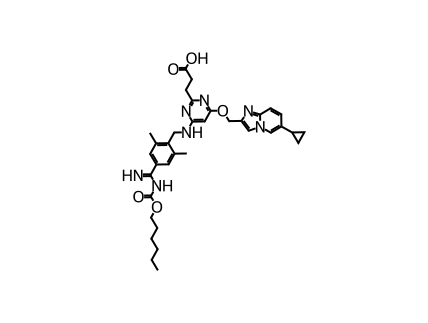 CCCCCCOC(=O)NC(=N)c1cc(C)c(CNc2cc(OCc3cn4cc(C5CC5)ccc4n3)nc(CCC(=O)O)n2)c(C)c1